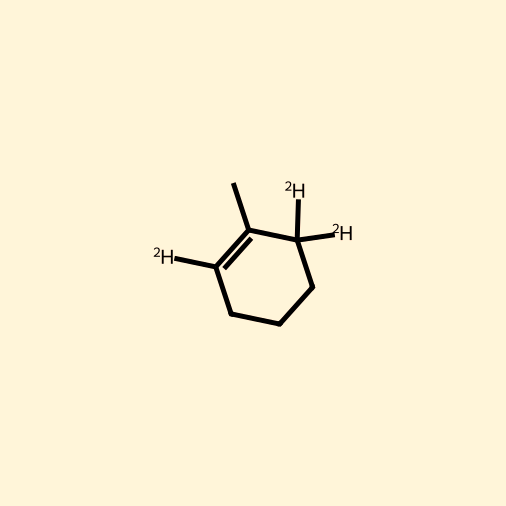 [2H]C1=C(C)C([2H])([2H])CCC1